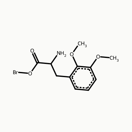 COc1cccc(CC(N)C(=O)OBr)c1OC